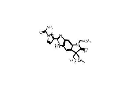 CCN1C(=O)C(CC)(CC)c2cc3[nH]c(-c4[c]cn(C(N)=O)n4)nc3cc21